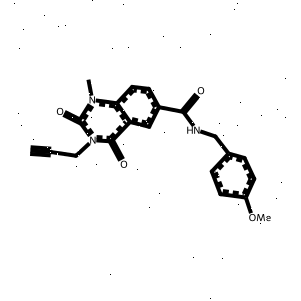 C#CCn1c(=O)c2cc(C(=O)NCc3ccc(OC)cc3)ccc2n(C)c1=O